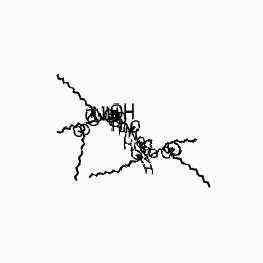 CCCCCCCCCCCCCC(=O)N[C@@H](COCC[C@@H](CCCCCCC)OC(=O)CCCCCCCCCCC)COP(=O)(O)OCCNC(=O)NCCOP(=O)(O)OC[C@H](COCC[C@@H](CCCCCCC)OC(=O)CCCCCCCCCCC)NC(=O)CCCCCCCCCCCCC